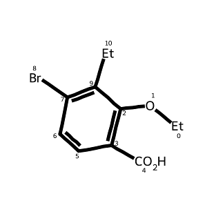 CCOc1c(C(=O)O)ccc(Br)c1CC